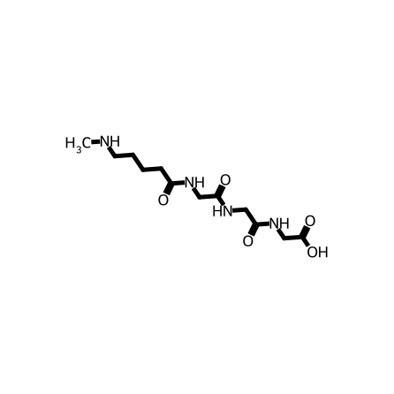 CNCCCCC(=O)NCC(=O)NCC(=O)NCC(=O)O